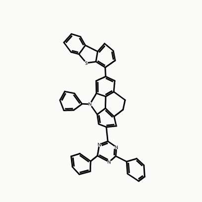 c1ccc(-c2nc(-c3ccccc3)nc(-c3cc4c5c6c(cc(-c7cccc8c7sc7ccccc78)cc6n(-c6ccccc6)c5c3)CC4)n2)cc1